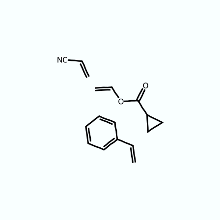 C=CC#N.C=COC(=O)C1CC1.C=Cc1ccccc1